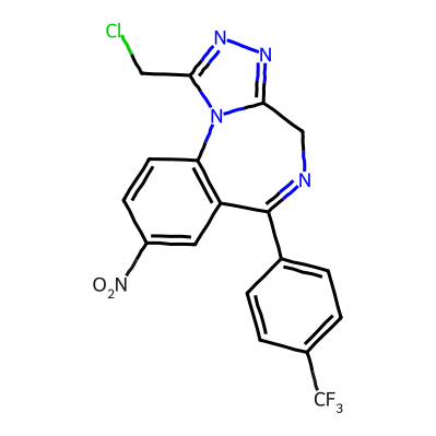 O=[N+]([O-])c1ccc2c(c1)C(c1ccc(C(F)(F)F)cc1)=NCc1nnc(CCl)n1-2